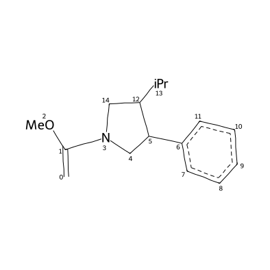 C=C(OC)N1CC(c2ccccc2)C(C(C)C)C1